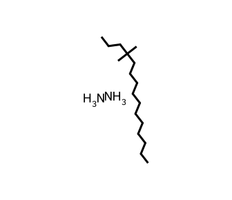 CCCCCCCCCCCC(C)(C)CCC.N.N